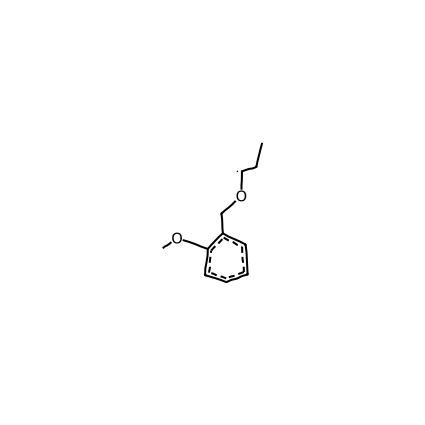 CC[CH]OCc1ccccc1OC